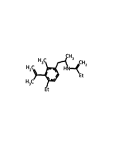 C=C(CC)NC(C)Cc1ccc(CC)c(C(=C)C)c1C